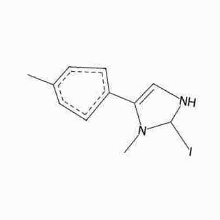 Cc1ccc(C2=CNC(I)N2C)cc1